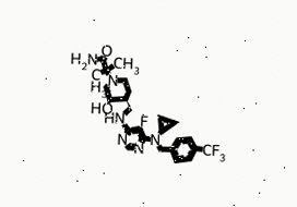 CC(C)(C(N)=O)N1CC[C@H](CNc2ncnc(N(Cc3ccc(C(F)(F)F)cc3)C3CC3)c2F)[C@@H](O)C1